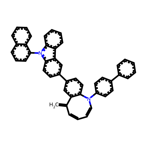 C=C1/C=C\C=C/N(c2ccc(-c3ccccc3)cc2)c2ccc(-c3ccc4c(c3)c3ccccc3n4-c3cccc4ccccc34)cc21